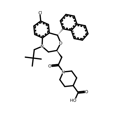 CC(C)(C)CN1C[C@H](CC(=O)N2CCC(C(=O)O)CC2)O[C@@H](c2cccc3ccccc23)c2cc(Cl)ccc21